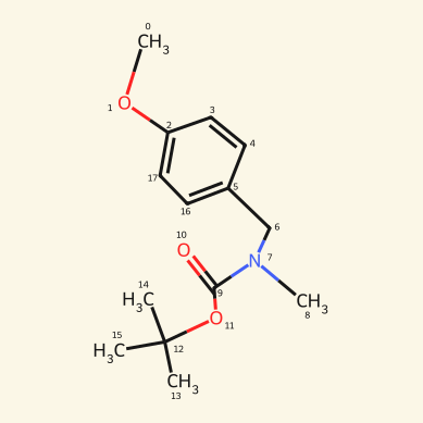 COc1ccc(CN(C)C(=O)OC(C)(C)C)cc1